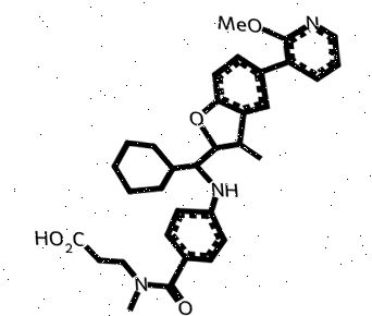 COc1ncccc1-c1ccc2c(c1)C(C)C(C(Nc1ccc(C(=O)N(C)CCC(=O)O)cc1)C1CCCCC1)O2